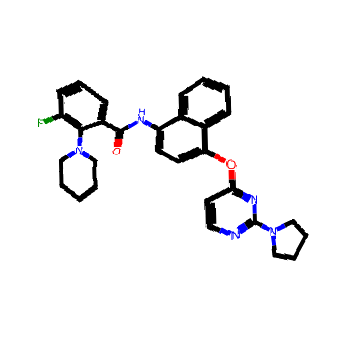 O=C(Nc1ccc(Oc2ccnc(N3CCCC3)n2)c2ccccc12)c1cccc(F)c1N1CCCCC1